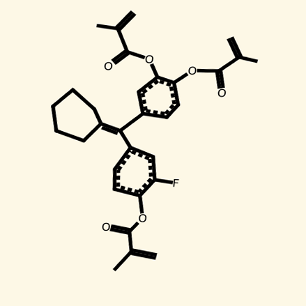 C=C(C)C(=O)Oc1ccc(C(=C2CCCCC2)c2ccc(OC(=O)C(=C)C)c(OC(=O)C(=C)C)c2)cc1F